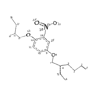 CCCCC(CC)COc1ccc(OCC(C)CC)c([N+](=O)[O-])c1